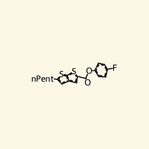 CCCCCc1cc2cc(C(=O)Oc3ccc(F)cc3)sc2s1